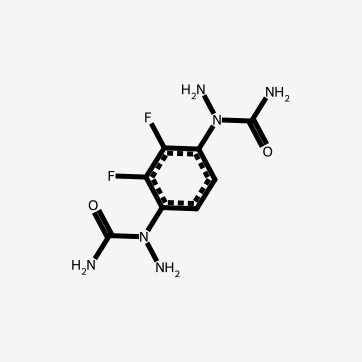 NC(=O)N(N)c1ccc(N(N)C(N)=O)c(F)c1F